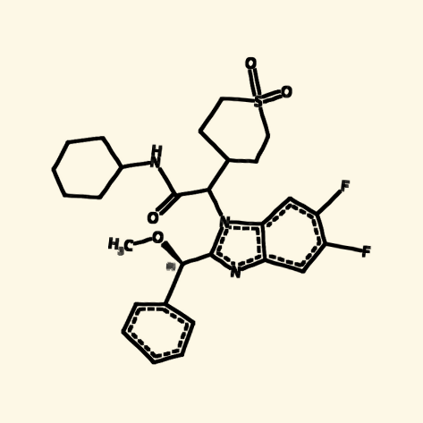 CO[C@H](c1ccccc1)c1nc2cc(F)c(F)cc2n1C(C(=O)NC1CCCCC1)C1CCS(=O)(=O)CC1